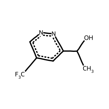 CC(O)c1cc(C(F)(F)F)cnn1